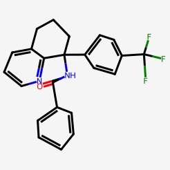 O=C(NC1(c2ccc(C(F)(F)F)cc2)CCCc2cccnc21)c1ccccc1